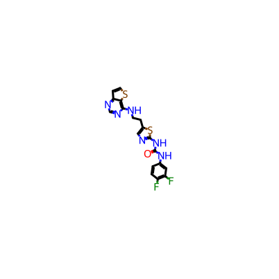 O=C(Nc1ccc(F)c(F)c1)Nc1ncc(CCNc2ncnc3ccsc23)s1